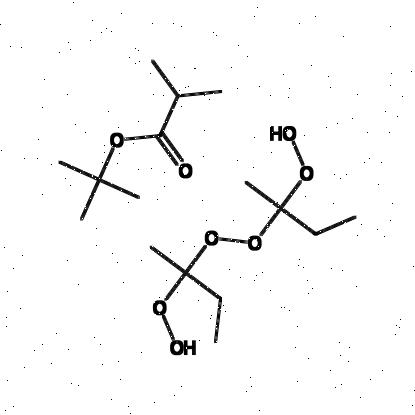 CC(C)C(=O)OC(C)(C)C.CCC(C)(OO)OOC(C)(CC)OO